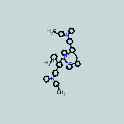 C=Cc1ccc(N(c2ccccc2)c2ccc(-c3ccc(C/C4=C/[n+]5ccccc5-c5ccccc5CCc5ccc(-c6ccc(N(c7ccccc7)c7ccc(C=C)cc7)cc6)cc5-c5cccc[n+]54)c(-c4cccc[n+]4C)c3)cc2)cc1